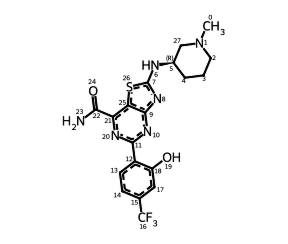 CN1CCC[C@@H](Nc2nc3nc(-c4ccc(C(F)(F)F)cc4O)nc(C(N)=O)c3s2)C1